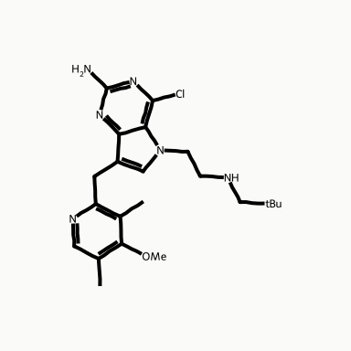 COc1c(C)cnc(Cc2cn(CCNCC(C)(C)C)c3c(Cl)nc(N)nc23)c1C